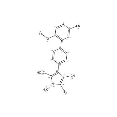 CCOc1ccc(C#N)cc1-c1ccc(-c2c(C#N)c(CC)n(C)c2C(=O)O)cc1